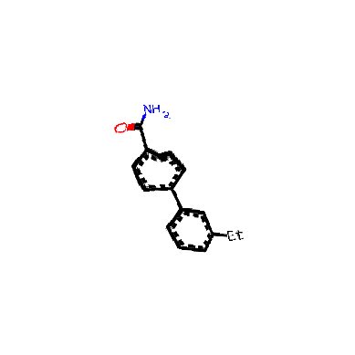 [CH2]Cc1cccc(-c2ccc(C(N)=O)cc2)c1